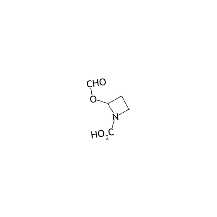 O=COC1CCN1C(=O)O